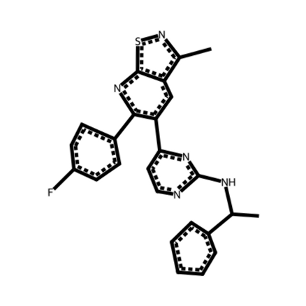 Cc1nsc2nc(-c3ccc(F)cc3)c(-c3ccnc(NC(C)c4ccccc4)n3)cc12